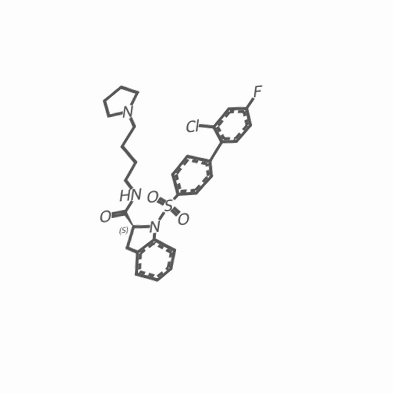 O=C(NCCCCN1CCCC1)[C@@H]1Cc2ccccc2N1S(=O)(=O)c1ccc(-c2ccc(F)cc2Cl)cc1